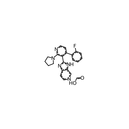 Fc1ccccc1-c1ccnc(N2CCCC2)c1-c1nc2ccncc2[nH]1.O=CO